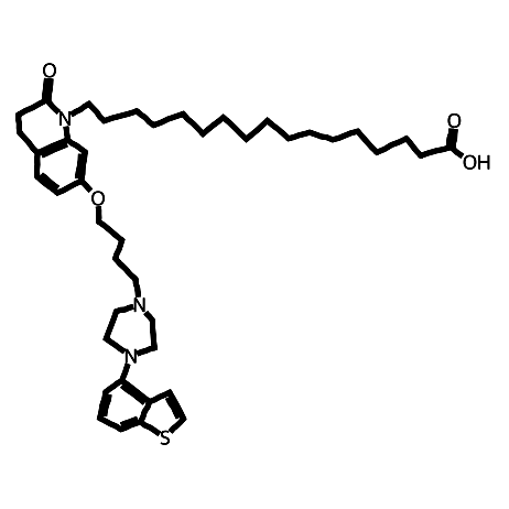 O=C(O)CCCCCCCCCCCCCCCCN1C(=O)CCc2ccc(OCCCCN3CCN(c4cccc5sccc45)CC3)cc21